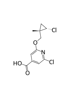 C[C@@]1(COc2cc(C(=O)O)cc(Cl)n2)C[C@@H]1Cl